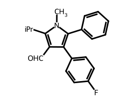 CC(C)c1c(C=O)c(-c2ccc(F)cc2)c(-c2ccccc2)n1C